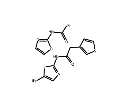 CC(C)C(=O)Nc1ncco1.CC(C)c1cnc(NC(=O)Cc2ccsc2)s1